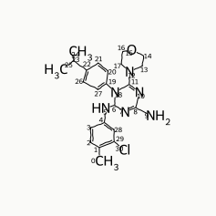 Cc1ccc(NC2N=C(N)N=C(N3CCOCC3)N2c2ccc(C(C)C)cc2)cc1Cl